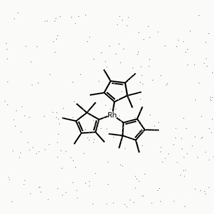 CC1=C(C)C(C)(C)[C]([Rh]([C]2=C(C)C(C)=C(C)C2(C)C)[C]2=C(C)C(C)=C(C)C2(C)C)=C1C